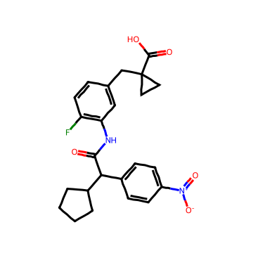 O=C(Nc1cc(CC2(C(=O)O)CC2)ccc1F)C(c1ccc([N+](=O)[O-])cc1)C1CCCC1